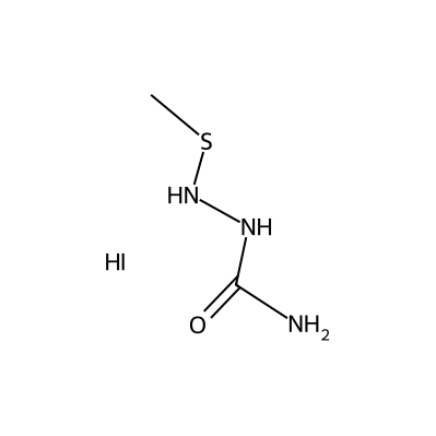 CSNNC(N)=O.I